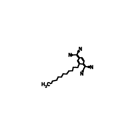 CCCCCCCCCCCCc1cc(=C(C#N)C#N)ccc1=C(C#N)C#N